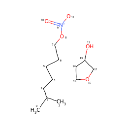 CC(C)CCCCCO[N+](=O)[O-].OC1CCOC1